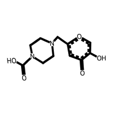 O=C(O)N1CCN(Cc2cc(=O)c(O)co2)CC1